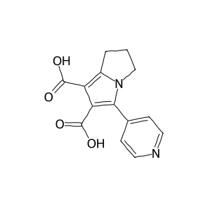 O=C(O)c1c(C(=O)O)c(-c2ccncc2)n2c1CCC2